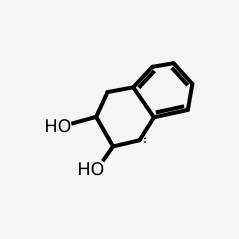 OC1[C]c2ccccc2CC1O